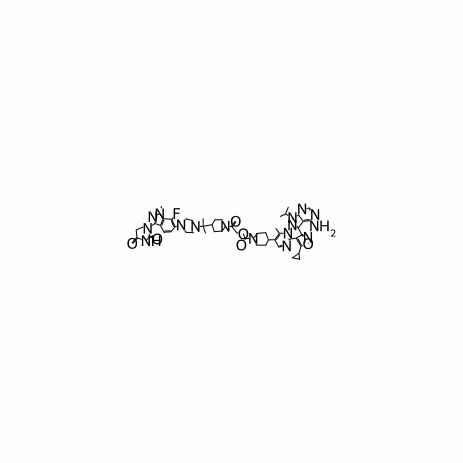 Cc1nc(-c2c(-c3nn(C(C)C)c4ncnc(N)c34)noc2C2CC2)ncc1C1CCN(C(=O)OCC(=O)N2CCC(C(C)(C)N3CCN(c4ccc5c(N6CCC(=O)NC6=O)nn(C)c5c4F)CC3)CC2)CC1